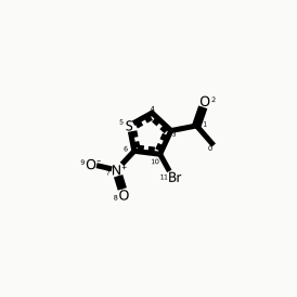 CC(=O)c1csc([N+](=O)[O-])c1Br